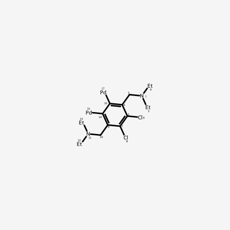 CCN(CC)Cc1c(Cl)c(Cl)c(CN(CC)CC)[c]([Pd])[c]1[Pd]